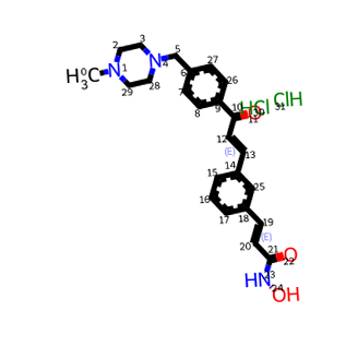 CN1CCN(Cc2ccc(C(=O)/C=C/c3cccc(/C=C/C(=O)NO)c3)cc2)CC1.Cl.Cl